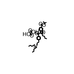 CCCCc1oc2cc(C(=O)OC(C)C)ccc2c1C(=O)c1ccc(CCCN(CCCC)CCCC)cc1.O=C(O)C(=O)O